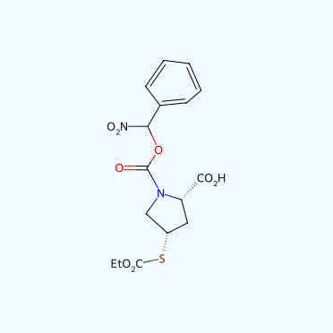 CCOC(=O)S[C@H]1C[C@@H](C(=O)O)N(C(=O)OC(c2ccccc2)[N+](=O)[O-])C1